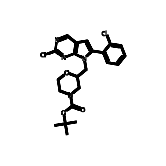 CC(C)(C)OC(=O)N1CCOC(Cn2c(-c3ccccc3Cl)cc3cnc(Cl)nc32)C1